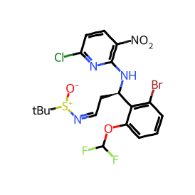 CC(C)(C)[S+]([O-])/N=C\C[C@@H](Nc1nc(Cl)ccc1[N+](=O)[O-])c1c(Br)cccc1OC(F)F